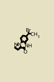 CC(Br)c1ccc2c(c1)[nH]c(=O)c1ccnn12